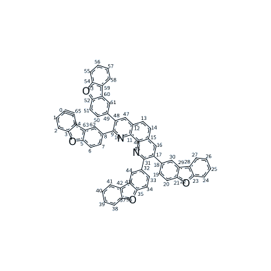 c1ccc2oc3ccc(-c4nc5c(ccc6cc(-c7ccc8oc9ccccc9c8c7)c(-c7ccc8oc9ccccc9c8c7)nc65)cc4-c4ccc5oc6ccccc6c5c4)cc3c2c#1